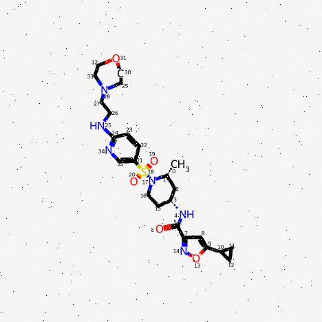 C[C@@H]1C[C@H](NC(=O)c2cc(C3CC3)on2)CCN1S(=O)(=O)c1ccc(NCCN2CCOCC2)nc1